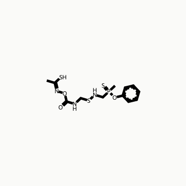 CC(S)=NOC(=O)NCSNCP(C)(=S)Oc1ccccc1